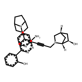 Nc1nnc(-c2ccccc2O)cc1N1CC2CCC(C1)N2c1ccnc(C#CCN2C[C@@H]3C[C@@H](O)[C@H]2C3)c1